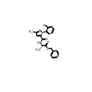 C[C@H](NC(=O)c1cc(C(F)(F)F)nn1-c1ccccc1Cl)C(=O)OCc1ccccc1